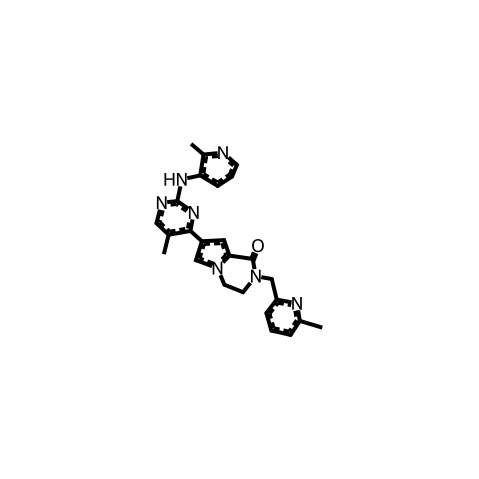 Cc1cccc(CN2CCn3cc(-c4nc(Nc5cccnc5C)ncc4C)cc3C2=O)n1